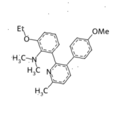 CCOc1cccc(-c2nc(C)ccc2-c2ccc(OC)cc2)c1N(C)C